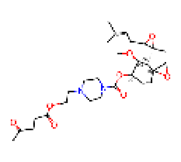 CO[C@H]1[C@H](C2(C)OC2CC=C(C)C)[C@]2(CC[C@H]1OC(=O)N1CCN(CCOC(=O)CCC(C)=O)CC1)CO2